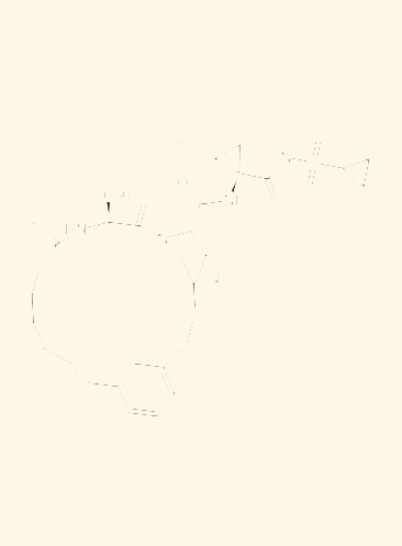 C=C[C@@H]1C[C@]1(NC(=O)[C@@H]1C[C@@H]2CN1C(=O)[C@H](CCCC)NC(=O)OCCC/C=C/c1cccc(c1)CO2)C(=O)NS(=O)(=O)C1CC1